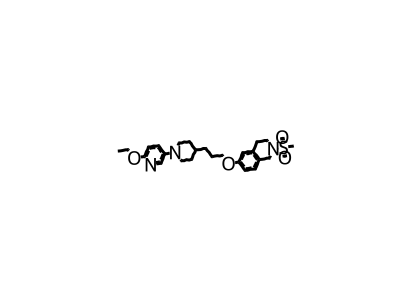 CCOc1ccc(N2CCC(CCCOc3ccc4c(c3)CCN(S(C)(=O)=O)C4)CC2)cn1